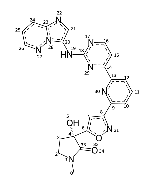 CN1CC[C@@](O)(c2cc(-c3cccc(-c4ccnc(Nc5cnc6cccnn56)n4)n3)no2)C1=O